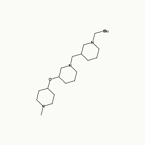 CN1CCC(OC2CCCN(CC3CCCN(CC(C)(C)C)C3)C2)CC1